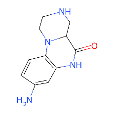 Nc1ccc2c(c1)NC(=O)C1CNCCN21